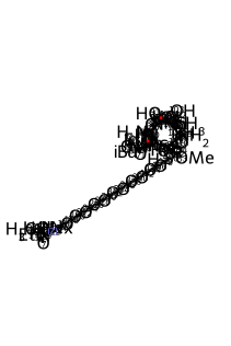 CCCCCCC(C)(CC)C1CC(=O)N(C/C(N)=C/NCCOCCOCCOCCOCCOCCOCCOCCOCCOCCOCCOCCSCc2c(OC)ccc3c4c([nH]c23)[S+]([O-])C[C@@H](NC(=O)CNC(=O)[C@@H](NC(=O)CC)[C@@H](C)CC)C(=O)N[C@@H](CC(N)=O)C(=O)N2C[C@H](O)C[C@H]2C(=O)N[C@@H]([C@@H](C)[C@@H](O)CO)C(=O)N[C@H](C(N)=O)C4)C1=O